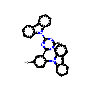 CC(C)(C)c1nc(-c2cc(C#N)ccc2-n2c3ccccc3c3ccccc32)nc(-n2c3ccccc3c3ccccc32)n1